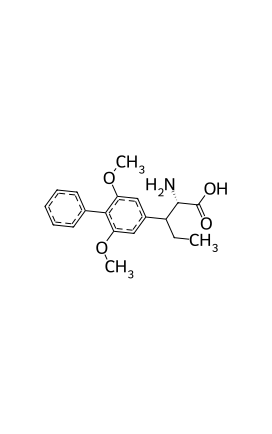 CCC(c1cc(OC)c(-c2ccccc2)c(OC)c1)[C@H](N)C(=O)O